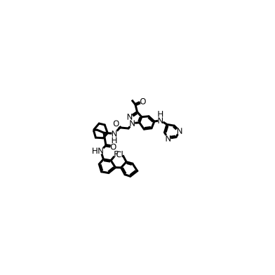 CC(=O)c1nn(CC(=O)NC23CCC(CC2)CC3C(=O)Nc2cccc(-c3ccccc3Cl)c2F)c2ccc(Nc3cncnc3)cc12